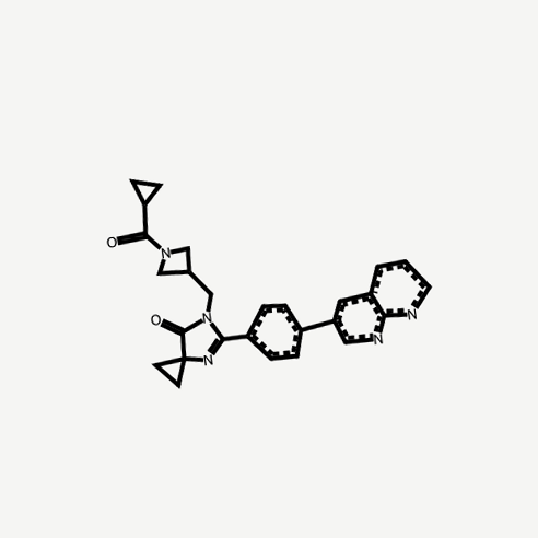 O=C(C1CC1)N1CC(CN2C(=O)C3(CC3)N=C2c2ccc(-c3cnc4ncccc4c3)cc2)C1